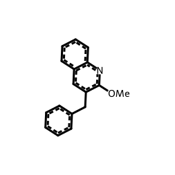 COc1nc2ccccc2cc1Cc1ccccc1